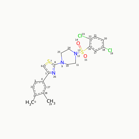 Cc1ccc(-c2csc(N3CCN(S(=O)(=O)c4cc(Cl)ccc4Cl)CC3)n2)cc1C